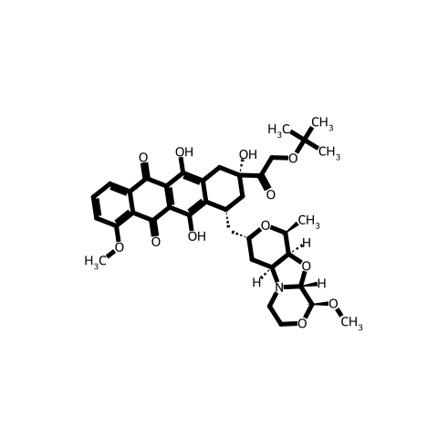 COc1cccc2c1C(=O)c1c(O)c3c(c(O)c1C2=O)C[C@@](O)(C(=O)COC(C)(C)C)C[C@@H]3C[C@H]1C[C@H]2[C@H](O[C@@H]3[C@@H](OC)OCCN32)[C@H](C)O1